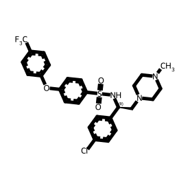 CN1CCN(C[C@H](NS(=O)(=O)c2ccc(Oc3ccc(C(F)(F)F)cc3)cc2)c2ccc(Cl)cc2)CC1